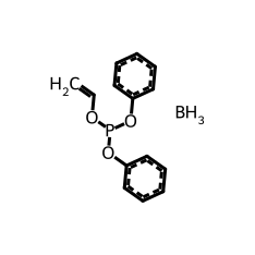 B.C=COP(Oc1ccccc1)Oc1ccccc1